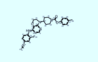 [C-]#[N+]c1ccc(Nc2ncnc3c2OCCN3C2CCN(C(=O)Oc3ccc(C)cc3)CC2)c(F)c1